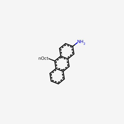 CCCCCCCCc1c2ccccc2cc2cc(N)ccc12